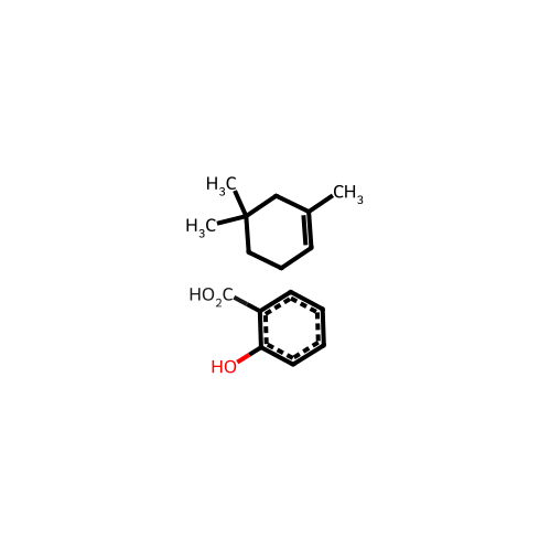 CC1=CCCC(C)(C)C1.O=C(O)c1ccccc1O